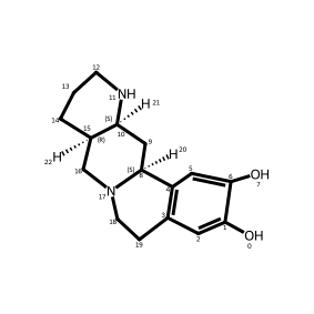 Oc1cc2c(cc1O)[C@@H]1C[C@@H]3NCCC[C@@H]3CN1CC2